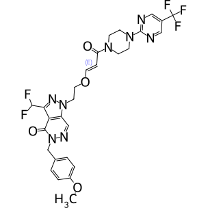 COc1ccc(Cn2ncc3c(c(C(F)F)nn3CCO/C=C/C(=O)N3CCN(c4ncc(C(F)(F)F)cn4)CC3)c2=O)cc1